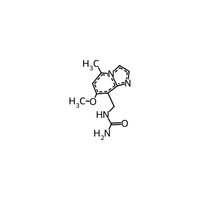 COc1cc(C)n2ccnc2c1CNC(N)=O